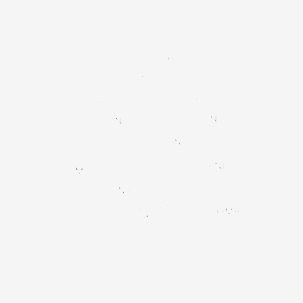 COC(=O)Nc1nc2ccccc2[nH]1.S=C([S-])NCCNC(=S)[S-].[Mn+2]